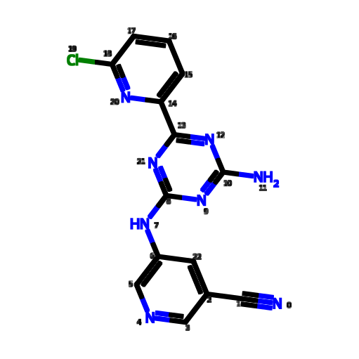 N#Cc1cncc(Nc2nc(N)nc(-c3cccc(Cl)n3)n2)c1